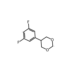 Fc1[c]c(F)cc(C2CO[CH]OC2)c1